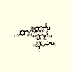 NCCCC[C@H](N)C(=O)O.N[C@@H](Cc1c[nH]cn1)C(=O)O.N[C@@H](Cc1c[nH]cn1)C(=O)O.N[C@@H](Cc1ccc(O)cc1)C(=O)O